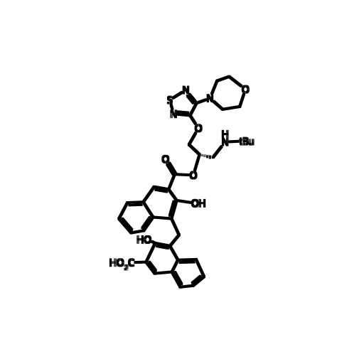 CC(C)(C)NC[C@@H](COc1nsnc1N1CCOCC1)OC(=O)c1cc2ccccc2c(Cc2c(O)c(C(=O)O)cc3ccccc23)c1O